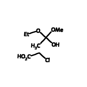 CCOC(C)(O)OC.O=C(O)CCl